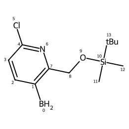 Bc1ccc(Cl)nc1CO[Si](C)(C)C(C)(C)C